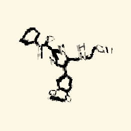 Cn1c(C(=O)Nc2ccccc2)nc(-c2ccc3c(c2)OC=CO3)c1CNCCO